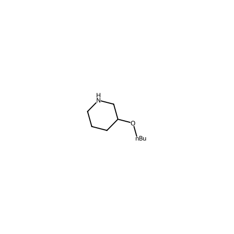 CCCCOC1CCCNC1